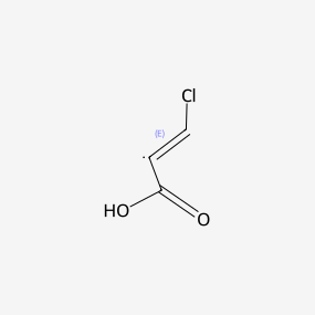 O=C(O)/[C]=C/Cl